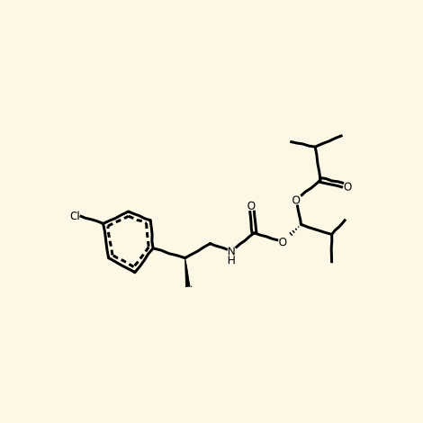 [CH2][C@H](CNC(=O)O[C@H](OC(=O)C(C)C)C(C)C)c1ccc(Cl)cc1